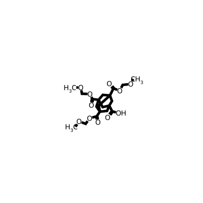 COCOC(=O)C12CC3(C(=O)O)CC(C(=O)OCOC)(C1)CC(C(=O)OCOC)(C3)C2